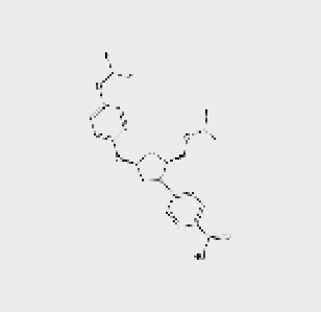 O=C(O)c1ccc(N2C[C@@H](Oc3ccc(OC(F)F)cc3)C[C@H]2COC(F)F)cc1